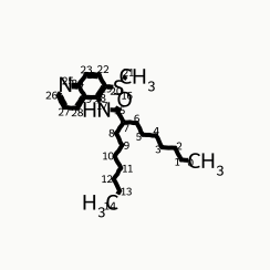 CCCCCCCC(CCCCCCC)C(=O)Nc1c(SC)ccc2ncccc12